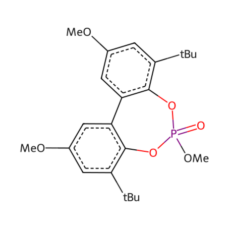 COc1cc2c(c(C(C)(C)C)c1)OP(=O)(OC)Oc1c-2cc(OC)cc1C(C)(C)C